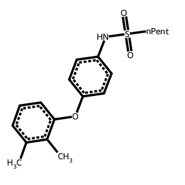 CCCCCS(=O)(=O)Nc1ccc(Oc2cccc(C)c2C)cc1